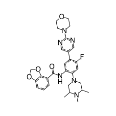 CC1CN(c2cc(F)c(-c3cnc(N4CCOCC4)nc3)cc2NC(=O)c2cccc3c2OCO3)CC(C)N1C